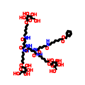 O=C(CCCC(=O)NC(CCC(=O)NC(CCC(=O)NCCCCCCO[C@H]1O[C@H](CO)[C@@H](O)[C@H](O)[C@@H]1O)C(=O)NCCCCCCO[C@H]1O[C@H](CO)[C@@H](O)[C@H](O)[C@@H]1O)C(=O)NCCCCCCO[C@H]1O[C@H](CO)[C@@H](O)[C@H](O)[C@@H]1O)NCCCCCCC(=O)OCc1ccccc1